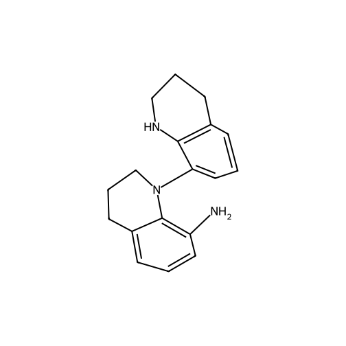 Nc1cccc2c1N(c1cccc3c1NCCC3)CCC2